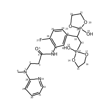 CN(CCC(=O)Nc1cc(C(C[P]2(O)OCCO2)[P]2(O)OCCO2)ccc1F)c1ccccn1